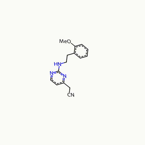 COc1ccccc1CCNc1nccc(CC#N)n1